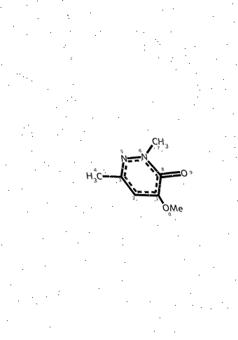 COc1cc(C)nn(C)c1=O